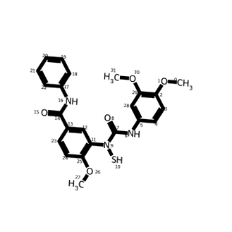 COc1ccc(NC(=O)N(S)c2cc(C(=O)Nc3ccccc3)ccc2OC)cc1OC